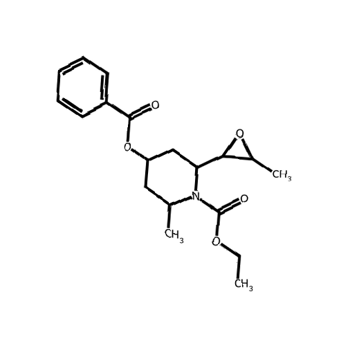 CCOC(=O)N1C(C)CC(OC(=O)c2ccccc2)CC1C1OC1C